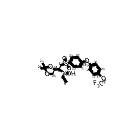 C=CN(O)[C@H](CS(=O)(=O)c1ccc(Oc2ccc(OC(F)(F)F)cc2)cc1)[C@H]1COC(C)(C)O1